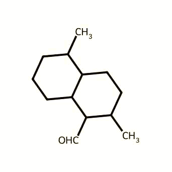 CC1CCC2C(C)CCCC2C1C=O